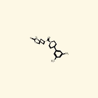 Cc1cc(C)cc(C2CCN(C(=O)[C@H]3C[C@]4(COC(=O)N4)C3)CC2)c1